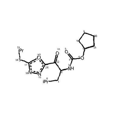 CC(C)CC(NC(=O)OC1CCCC1)C(=O)c1nnc(SC(C)C)o1